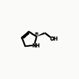 OC[C@H]1C=CCN1